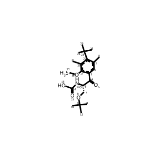 Cc1cc(C(=O)[C@H](COC(C)(C)C)NC(=O)O)c(O[SiH3])c(C)c1C(C)(C)C